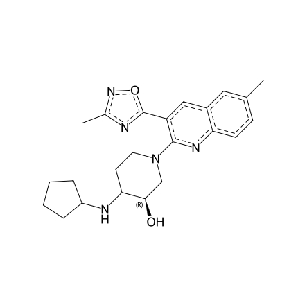 Cc1ccc2nc(N3CCC(NC4CCCC4)[C@H](O)C3)c(-c3nc(C)no3)cc2c1